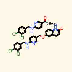 COC(=O)c1ccc(NCc2ccc(Cl)c(Cl)c2)nc1.O=c1ccc2cc(OCc3ccc(NCc4ccc(Cl)c(Cl)c4)nc3)ccc2[nH]1